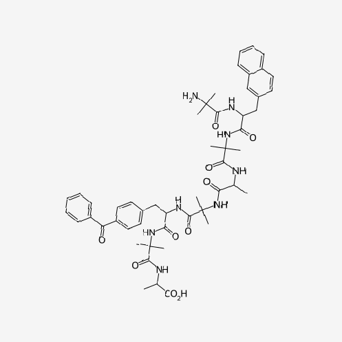 CC(NC(=O)C(C)(C)NC(=O)C(Cc1ccc(C(=O)c2ccccc2)cc1)NC(=O)C(C)(C)NC(=O)C(C)NC(=O)C(C)(C)NC(=O)C(Cc1ccc2ccccc2c1)NC(=O)C(C)(C)N)C(=O)O